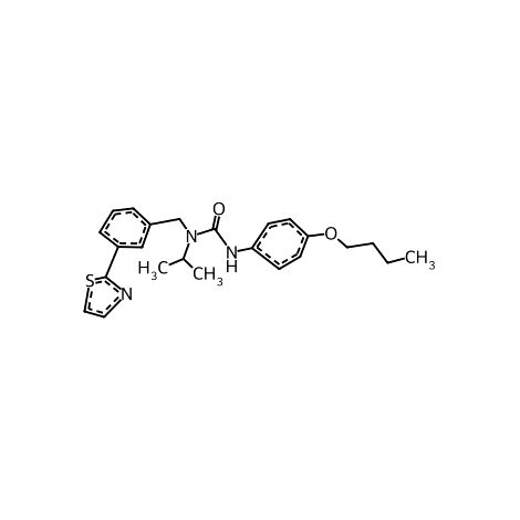 CCCCOc1ccc(NC(=O)N(Cc2cccc(-c3nccs3)c2)C(C)C)cc1